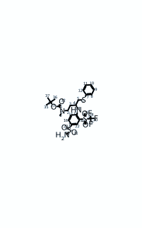 CN(CCC(CSc1ccccc1)Nc1ccc(S(N)(=O)=O)cc1S(=O)(=O)C(F)(F)F)C(=O)OC(C)(C)C